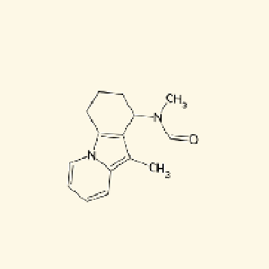 Cc1c2c(n3ccccc13)CCCC2N(C)C=O